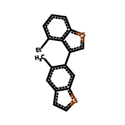 CCc1cccc2scc(-c3cc4sccc4cc3C)c12